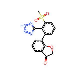 CS(=O)(=O)c1cccc(-c2cccc3c2OCC3=O)c1-c1nn[nH]n1